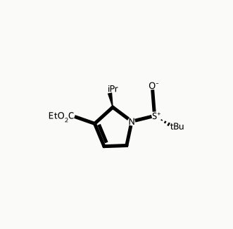 CCOC(=O)C1=CCN([S@+]([O-])C(C)(C)C)[C@@H]1C(C)C